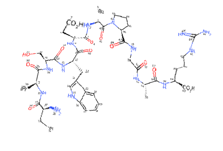 CC[C@H](C)[C@H](NC(=O)[C@H](CC(=O)O)NC(=O)[C@H](Cc1c[nH]c2ccccc12)NC(=O)[C@H](CO)NC(=O)[C@@H](NC(=O)[C@@H](N)CC(C)C)C(C)C)C(=O)N1CCC[C@H]1C(=O)NCC(=O)N[C@@H](C)C(=O)N[C@@H](CCCNC(=N)N)C(=O)O